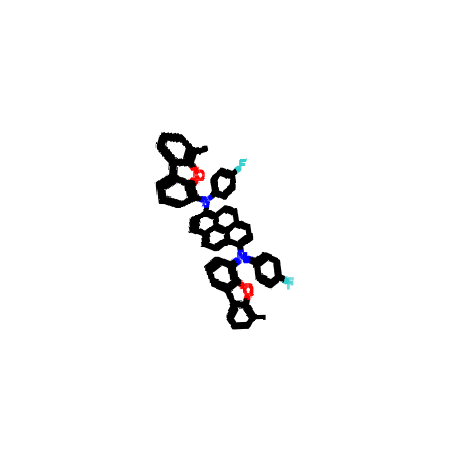 Cc1cccc2c1oc1c(N(c3ccc(F)cc3)c3ccc4ccc5c(N(c6ccc(F)cc6)c6cccc7c6oc6c(C)cccc67)ccc6ccc3c4c65)cccc12